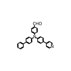 O=Cc1ccc(N(c2ccc(-c3ccccc3)cc2)c2ccc(-c3ccncc3)cc2)cc1